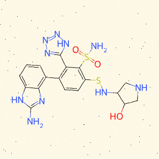 Nc1nc2c(-c3ccc(SNC4CNCC4O)c(S(N)(=O)=O)c3-c3nnn[nH]3)cccc2[nH]1